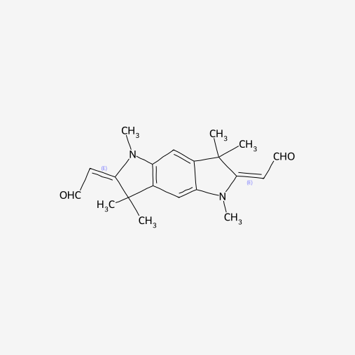 CN1/C(=C/C=O)C(C)(C)c2cc3c(cc21)C(C)(C)/C(=C\C=O)N3C